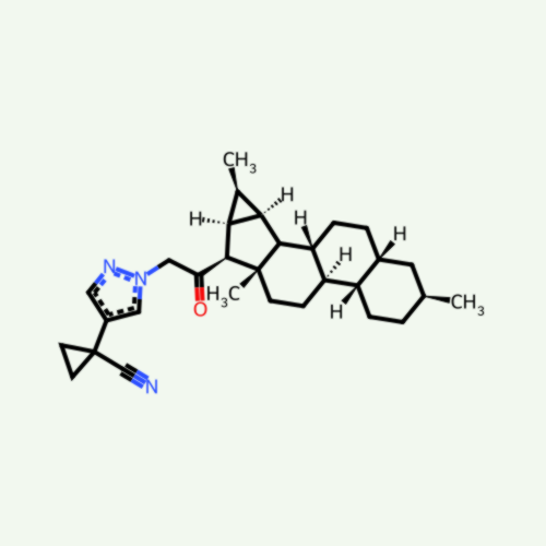 C[C@H]1CC[C@H]2[C@H](CC[C@H]3C4[C@@H]5[C@H](C)[C@@H]5[C@H](C(=O)Cn5cc(C6(C#N)CC6)cn5)[C@@]4(C)CC[C@H]23)C1